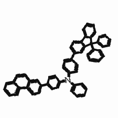 c1ccc(N(c2ccc(-c3ccc4c(c3)C(c3ccccc3)(c3ccccc3)c3ccccc3-4)cc2)c2ccc(-c3ccc4c(ccc5ccccc54)c3)cc2)cc1